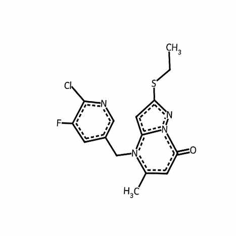 CCSc1cc2n(Cc3cnc(Cl)c(F)c3)c(C)cc(=O)n2n1